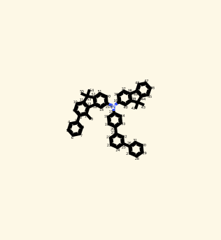 Cc1c(-c2ccccc2)ccc2c1-c1cc(N(c3ccc(-c4cccc(-c5ccccc5)c4)cc3)c3ccc4c(c3)C(C)(C)c3ccccc3-4)ccc1C2(C)C